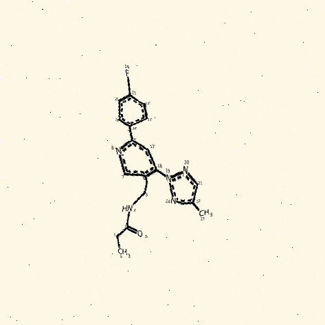 CCC(=O)NCc1cnc(-c2ccc(F)cc2)cc1-n1ncc(C)n1